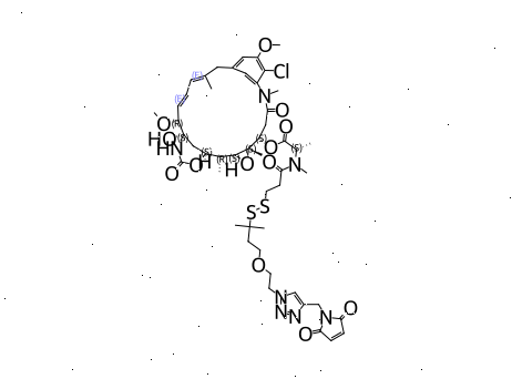 COc1cc2cc(c1Cl)N(C)C(=O)C[C@H](OC(=O)[C@H](C)N(C)C(=O)CCSSC(C)(C)CCOCCn1cc(CN3C(=O)C=CC3=O)nn1)[C@]1(C)O[C@H]1[C@H](C)[C@@H]1C[C@@](O)(NC(=O)O1)[C@H](OC)/C=C/C=C(\C)C2